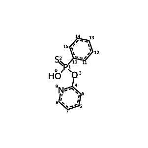 OP(=S)(Oc1ccccn1)c1ccccc1